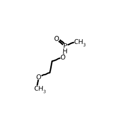 COCCO[PH](C)=O